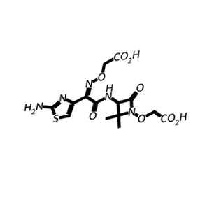 CC1(C)C(NC(=O)C(=NOCC(=O)O)c2csc(N)n2)C(=O)N1OCC(=O)O